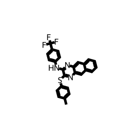 Cc1ccc(Sc2nc3cc4ccccc4cc3nc2Nc2ccc(C(F)(F)F)cc2)cc1